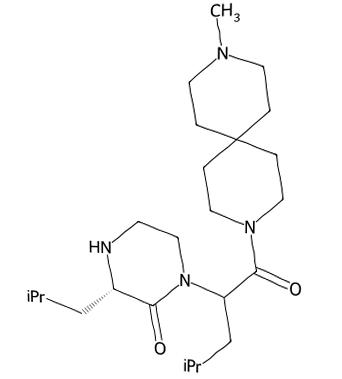 CC(C)CC(C(=O)N1CCC2(CCN(C)CC2)CC1)N1CCN[C@@H](CC(C)C)C1=O